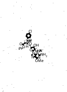 COc1nc(N)nc2c1ncn2[C@@H]1O[C@H](COP(=O)(N[C@@H](C)C(=O)OC(C)C)Oc2ccc(Cl)cc2)[C@@H](O)[C@@]1(C)N=[N+]=[N-]